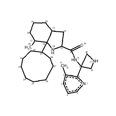 Cc1cccnc1C1(NC(=O)C2CC3CCCC(C)C3(C3CCCCCCCC3)N2)CNC1